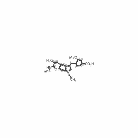 C=CCn1cc(Cc2ccc(C(=O)O)cc2OC)c2cc(/C=C(/C)C(=O)NCCC)ccc21